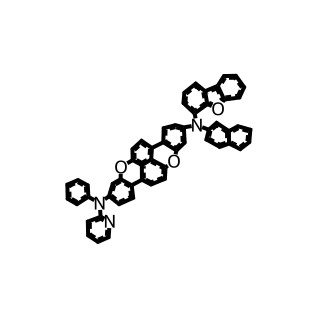 c1ccc(N(c2ccc3c(c2)Oc2ccc4c5c(ccc-3c25)Oc2cc(N(c3ccc5ccccc5c3)c3cccc5c3oc3ccccc35)ccc2-4)c2ccccn2)cc1